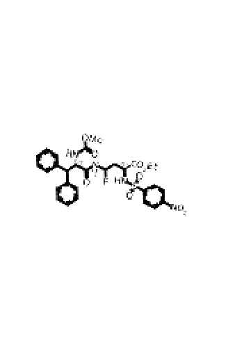 CCOC(=O)[C@H](CC(F)NC(=O)[C@@H](NC(=O)OC)C(c1ccccc1)c1ccccc1)NS(=O)(=O)c1ccc([N+](=O)[O-])cc1